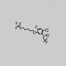 CC(C)(F)C[S+]([O-])c1cc(OCCCCCSC(F)(F)F)c(F)cc1Cl